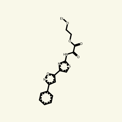 CCOCCOC(=O)C(=O)Nc1nc(-c2cc(-c3ccccc3)no2)cs1